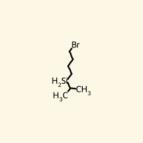 CC(C)[SiH2]CCCCBr